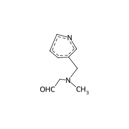 CN(CC=O)Cc1cccnc1